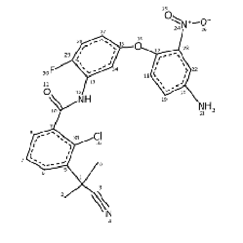 CC(C)(C#N)c1cccc(C(=O)Nc2cc(Oc3ccc(N)cc3[N+](=O)[O-])ccc2F)c1Cl